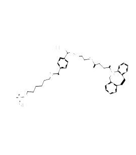 CC(SSCCNC(=O)CCC(=O)N1Cc2ccccc2C#Cc2ccccc21)c1ccc(C(=O)NCCCCCCOP(N)(=O)O)cc1